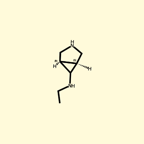 CCNC1[C@H]2CNC[C@@H]12